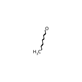 CC/C=C/C=C/C=C/C=O